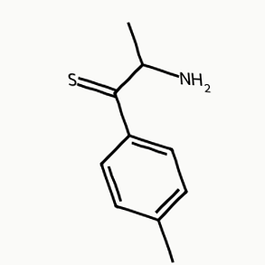 Cc1ccc(C(=S)C(C)N)cc1